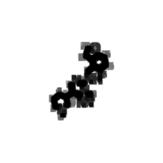 CN1CCCC(c2cnc(NCc3c(F)ccc4c3CCO4)n3cnnc23)C1